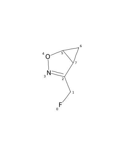 FCC1=NOC2CC12